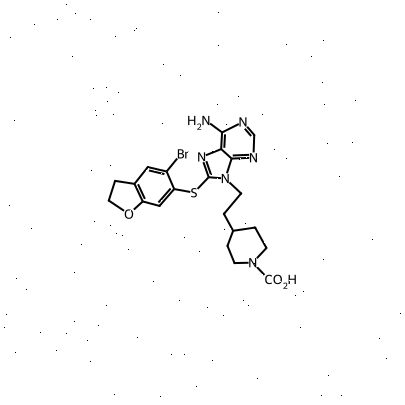 Nc1ncnc2c1nc(Sc1cc3c(cc1Br)CCO3)n2CCC1CCN(C(=O)O)CC1